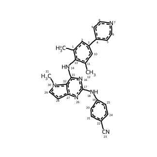 Cc1cc(-c2ccncc2)cc(C)c1Nc1nc(Nc2ccc(C#N)cc2)nc2ccn(C)c12